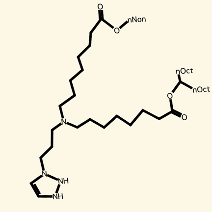 CCCCCCCCCOC(=O)CCCCCCCN(CCCCCCCC(=O)OC(CCCCCCCC)CCCCCCCC)CCCN1C=CNN1